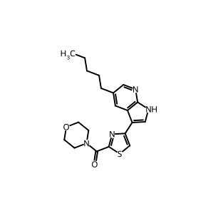 CCCCCc1cnc2[nH]cc(-c3csc(C(=O)N4CCOCC4)n3)c2c1